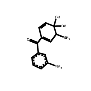 Nc1cccc(C(=O)C2=CC(N)C(O)(O)C=C2)c1